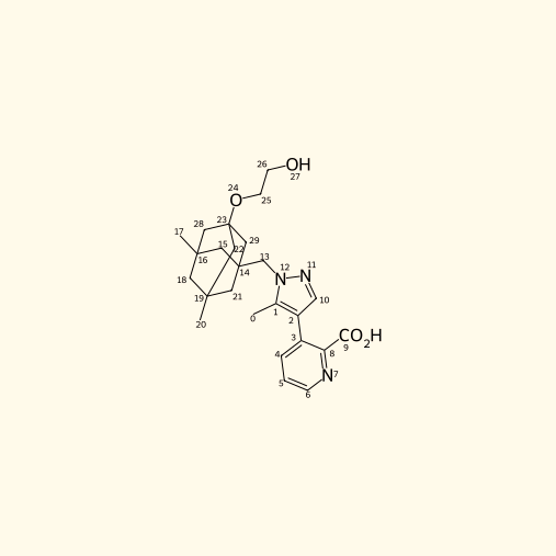 Cc1c(-c2cccnc2C(=O)O)cnn1CC12CC3(C)CC(C)(C1)CC(OCCO)(C3)C2